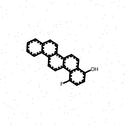 Oc1ccc(F)c2c1ccc1c3ccc4ccccc4c3ccc12